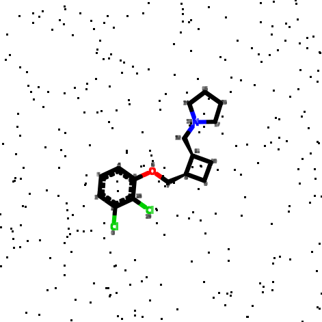 Clc1cccc(OC[C@@H]2CC[C@@H]2CN2CCCC2)c1Cl